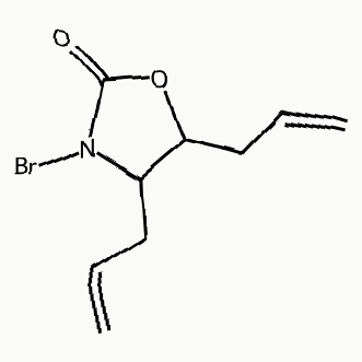 C=CCC1OC(=O)N(Br)C1CC=C